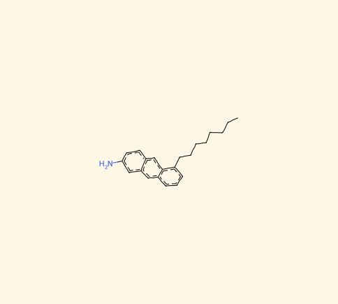 CCCCCCCCc1cccc2cc3cc(N)ccc3cc12